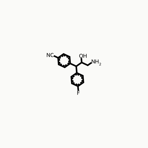 N#Cc1ccc(C(c2ccc(F)cc2)C(O)CN)cc1